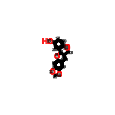 O=C1C(=Cc2ccc3c(c2)OCO3)COc2ccc(O)cc21